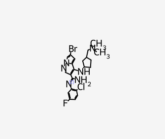 CN(C)CC1CCC(Nc2c(/C(N)=N/c3cc(F)ccc3Cl)cnn3cc(Br)cc23)C1